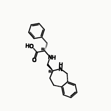 O=C(O)[C@H](Cc1ccccc1)NC[C@@H]1CCc2ccccc2CN1